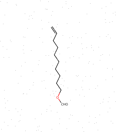 C=CCCCCCCCCOC=O